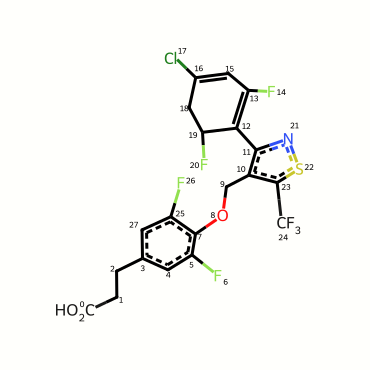 O=C(O)CCc1cc(F)c(OCc2c(C3=C(F)C=C(Cl)CC3F)nsc2C(F)(F)F)c(F)c1